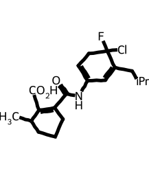 CC(C)CC1=CC(NC(=O)C2=C(C(=O)O)C(C)CCC2)=CCC1(F)Cl